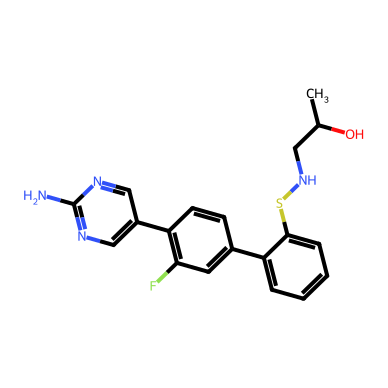 CC(O)CNSc1ccccc1-c1ccc(-c2cnc(N)nc2)c(F)c1